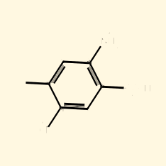 CCc1cc(N)c(C(=O)O)cc1Cl